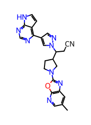 Cc1cnc2oc(N3CCC(C(CC#N)n4cc(-c5ncnc6[nH]ccc56)cn4)C3)nc2c1